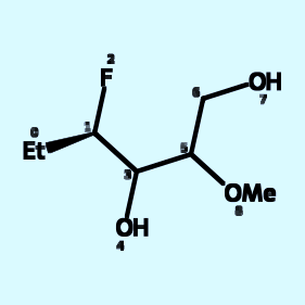 CC[C@@H](F)C(O)C(CO)OC